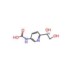 O=C(O)Nc1ccc([C@H](O)CO)nc1